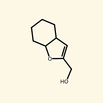 OCC1=CC2CCCCC2O1